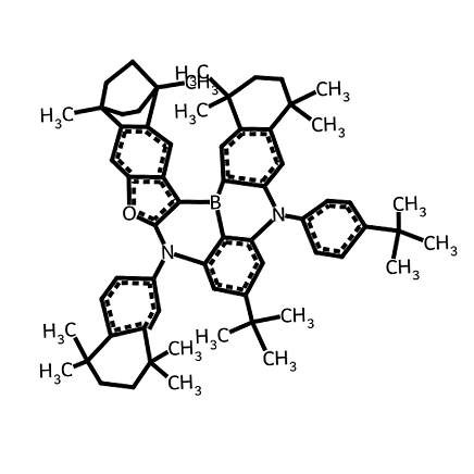 CC(C)(C)c1ccc(N2c3cc4c(cc3B3c5c2cc(C(C)(C)C)cc5N(c2ccc5c(c2)C(C)(C)CCC5(C)C)c2oc5cc6c(cc5c23)C2(C)CCC6(C)CC2)C(C)(C)CCC4(C)C)cc1